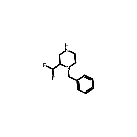 FC(F)C1CNCCN1Cc1ccccc1